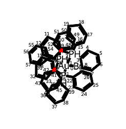 [Br][Au]([PH](c1ccccc1)(c1ccccc1)c1ccccc1)([PH](c1ccccc1)(c1ccccc1)c1ccccc1)[PH](c1ccccc1)(c1ccccc1)c1ccccc1